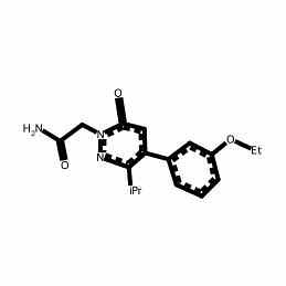 CCOc1cccc(-c2cc(=O)n(CC(N)=O)nc2C(C)C)c1